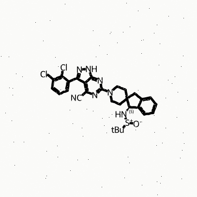 CC(C)(C)[S+]([O-])N[C@@H]1c2ccccc2CC12CCN(c1nc(C#N)c3c(-c4cccc(Cl)c4Cl)n[nH]c3n1)CC2